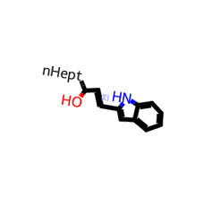 CCCCCCCC(O)/C=C/c1cc2ccccc2[nH]1